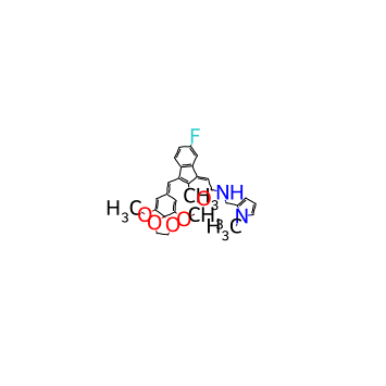 COC1=CC(=CC2=C(C)C(=CC(=O)NCc3cccn3C)c3cc(F)ccc32)C=C(OC)C12OCCO2